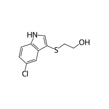 OCCSc1c[nH]c2ccc(Cl)cc12